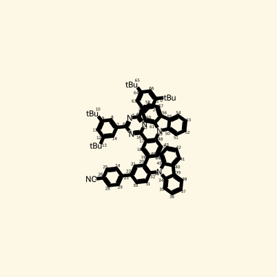 CC(C)(C)c1cc(-c2nc(-c3cc(C(C)(C)C)cc(C(C)(C)C)c3)nc(-c3cc(-c4cc(-c5ccc(C#N)cc5)ccc4-n4c5ccccc5c5ccccc54)ccc3-n3c4ccccc4c4ccccc43)n2)cc(C(C)(C)C)c1